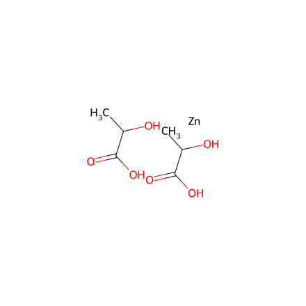 CC(O)C(=O)O.CC(O)C(=O)O.[Zn]